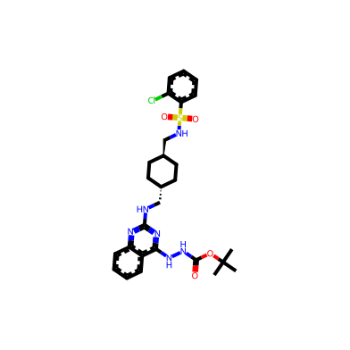 CC(C)(C)OC(=O)NNc1nc(NC[C@H]2CC[C@H](CNS(=O)(=O)c3ccccc3Cl)CC2)nc2ccccc12